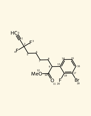 C#CC(F)(F)CCCCC(C(=O)OC)c1cccc(Br)c1F